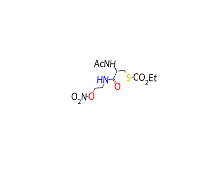 CCOC(=O)SC[C@H](NC(C)=O)C(=O)NCCO[N+](=O)[O-]